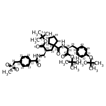 CC(C)(C)OC(=O)[C@H](CNC(=O)c1ccc(CS(C)(=O)=O)cc1)CC1(C(=O)N[C@@H](Cc2ccc(OC(C)(C)C)cc2)C(=O)OC(C)(C)C)CCCC1